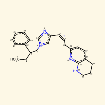 O=C(O)CC(Cn1cnc(/C=C\Cc2ccc3c(n2)NCCC3)c1)c1ccccc1